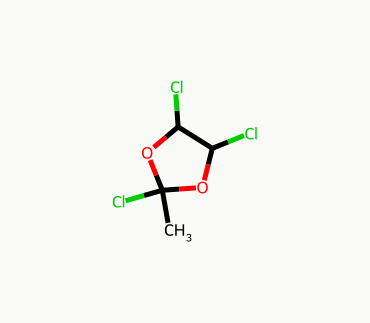 CC1(Cl)OC(Cl)C(Cl)O1